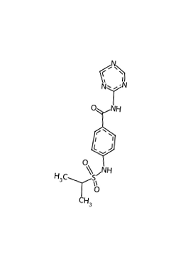 CC(C)S(=O)(=O)Nc1ccc(C(=O)Nc2ncncn2)cc1